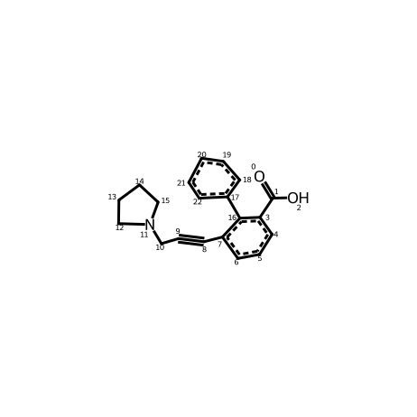 O=C(O)c1cccc(C#CCN2CCCC2)c1-c1ccccc1